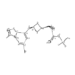 CC(C)(C)OC(=O)N[C@H]1C[C@@H](Oc2cc(Br)cn3cncc23)C1